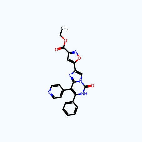 CCOC(=O)c1cc(-c2cn3c(=O)[nH]c(-c4ccccc4)c(-c4ccncc4)c3n2)on1